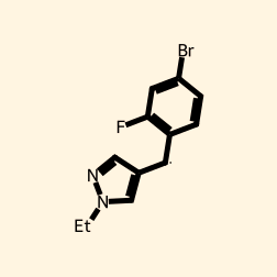 CCn1cc([CH]c2ccc(Br)cc2F)cn1